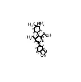 CC1(N)CCC(c2c(N)cc(-c3ccc4c(c3)OCO4)nc2CO)CC1